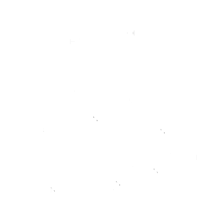 Cc1ncc(C[n+]2csc(CCO)c2C)c(N)n1.Cl.O=C(O)c1cccnc1